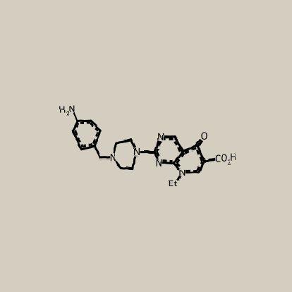 CCn1cc(C(=O)O)c(=O)c2cnc(N3CCN(Cc4ccc(N)cc4)CC3)nc21